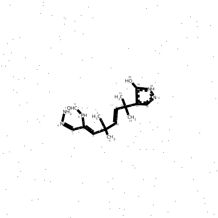 CC(C)(/C=C(/C=N\N)PC=O)/C=C/C(C)(C)c1cn[nH]c1O